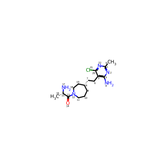 Cc1nc(N)c(CC[C@@H]2CCCN(C(=O)[C@H](C)N)CC2)c(Cl)n1